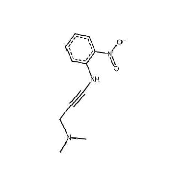 CN(C)CC#CNc1ccccc1[N+](=O)[O-]